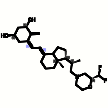 C=C1/C(=C\C=C2/CCC[C@@]3(C)C2CC[C@@H]3[C@H](C)CN2CCO[C@@H](C(F)F)C2)C[C@@H](O)C[C@@H]1O